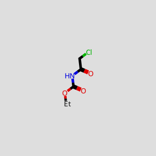 [CH2]COC(=O)NC(=O)CCl